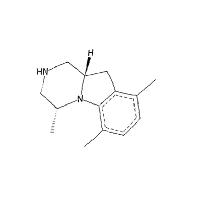 Cc1ccc(C)c2c1C[C@H]1CNC[C@@H](C)N21